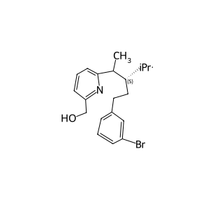 C[C](C)[C@H](CCc1cccc(Br)c1)C(C)c1cccc(CO)n1